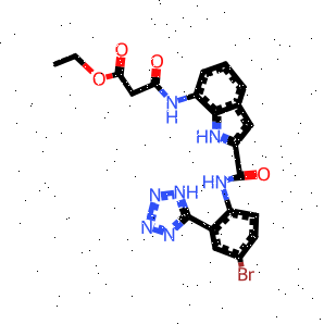 CCOC(=O)CC(=O)Nc1cccc2cc(C(=O)Nc3ccc(Br)cc3-c3nnn[nH]3)[nH]c12